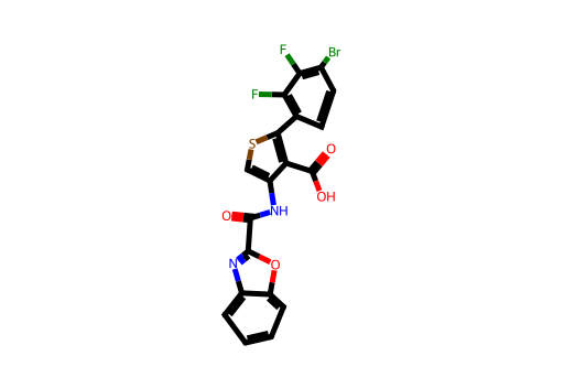 O=C(Nc1csc(-c2ccc(Br)c(F)c2F)c1C(=O)O)c1nc2ccccc2o1